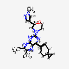 Cc1nc2nc(N3CCOC(c4cnn(C)c4)C3)nc(C3CCC4(CC3)CC4)c2nc1C